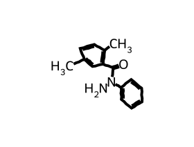 Cc1ccc(C)c(C(=O)N(N)c2ccccc2)c1